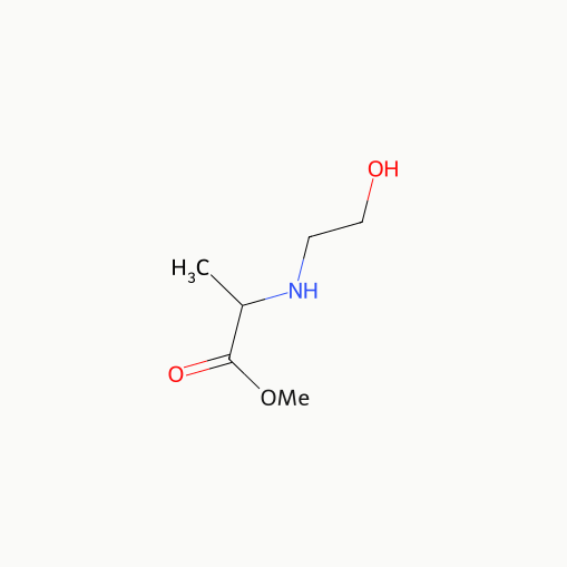 COC(=O)C(C)NCCO